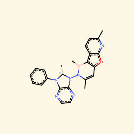 CB1c2c(oc3nc(C)ccc23)C=C(C)N1N1c2nccnc2N(c2ccccc2)[C@@H]1C